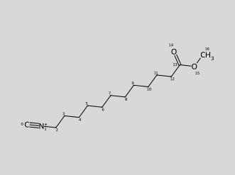 [C-]#[N+]CCCCCCCCCCCC(=O)OC